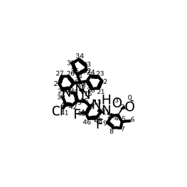 COC(=O)[C@H]1C(C)CC=CC1Nc1nc(-c2nn(C(c3ccccc3)(c3ccccc3)c3ccccc3)c3ncc(Cl)cc23)c(F)cc1F